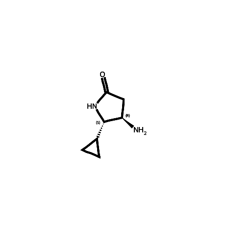 N[C@@H]1CC(=O)N[C@H]1C1CC1